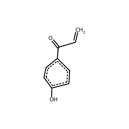 C=CC(=O)c1ccc(O)cc1